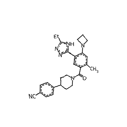 CCc1nnc(-c2cc(C(=O)N3CCC(c4ccc(C#N)cc4)CC3)c(C)cc2N2CCC2)[nH]1